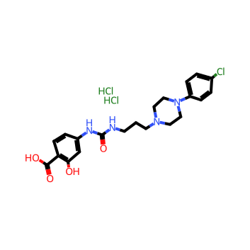 Cl.Cl.O=C(NCCCN1CCN(c2ccc(Cl)cc2)CC1)Nc1ccc(C(=O)O)c(O)c1